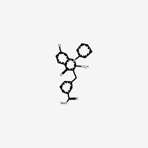 COC(=O)c1cccc(Cc2c(C(=O)O)n(-c3ccccc3)c3cc(Cl)ccc3c2=O)c1